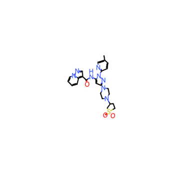 Cc1ccc(-n2nc(N3CCN(C4CCS(=O)(=O)C4)CC3)cc2NC(=O)c2cnn3ccccc23)nc1